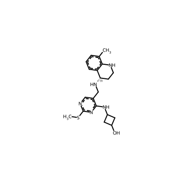 CSc1ncc(CN[C@H]2CCNc3c(C)cccc32)c(NC2CC(O)C2)n1